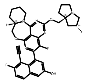 C#Cc1c(F)ccc2cc(O)cc(-c3nc4c5c(nc(OC[C@@]67CCCN6C[C@H](F)C7)nc5c3F)N3CCCC[C@H]3CO4)c12